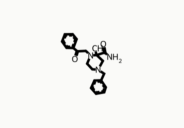 CC1(C(N)=O)CN(Cc2ccccc2)CCN1CC(=O)c1ccccc1